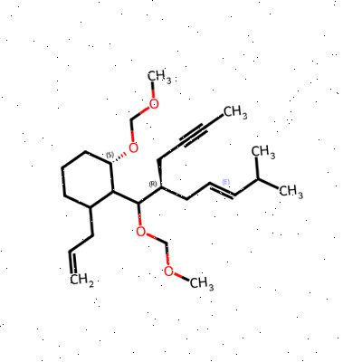 C=CCC1CCC[C@H](OCOC)C1C(OCOC)[C@@H](CC#CC)C/C=C/C(C)C